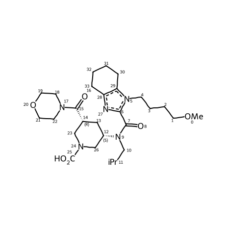 COCCCCn1c(C(=O)N(CC(C)C)[C@H]2C[C@@H](C(=O)N3CCOCC3)CN(C(=O)O)C2)nc2c1CCCC2